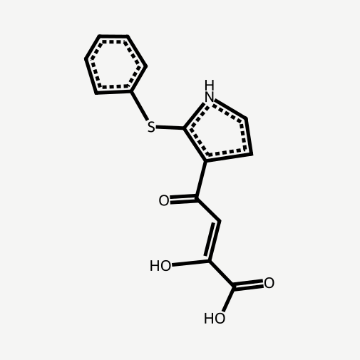 O=C(O)C(O)=CC(=O)c1cc[nH]c1Sc1ccccc1